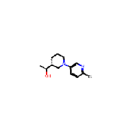 CCc1ccc(N2CCC[C@@H]([C@H](C)O)C2)cn1